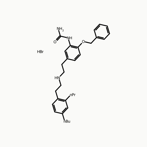 Br.CCCCc1ccc(CCNCCc2ccc(OCc3ccccc3)c(NC(N)=O)c2)c(CCC)c1